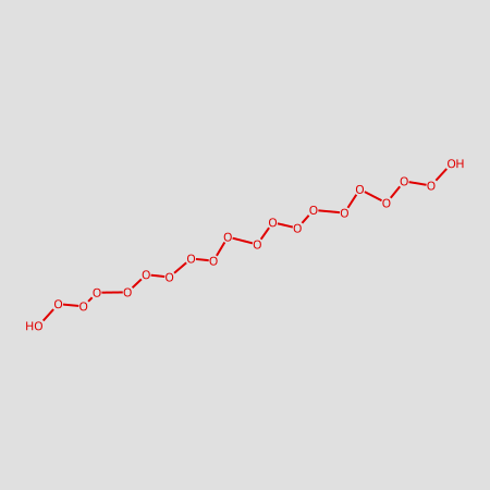 OOOOOOOOOOOOOOOOOOOO